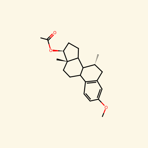 COc1ccc2c(c1)C[C@@H](C)C1C2CC[C@@]2(C)C1CC[C@@H]2OC(C)=O